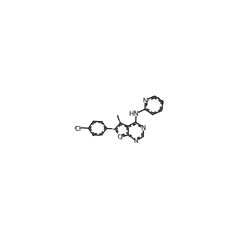 Cc1c(-c2ccc(Cl)cc2)oc2ncnc(Nc3ccccn3)c12